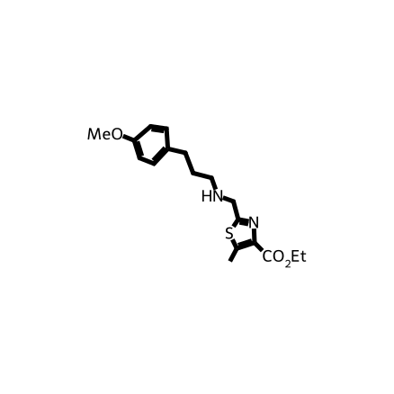 CCOC(=O)c1nc(CNCCCc2ccc(OC)cc2)sc1C